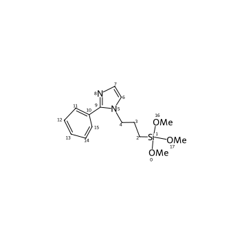 CO[Si](CCCn1ccnc1-c1ccccc1)(OC)OC